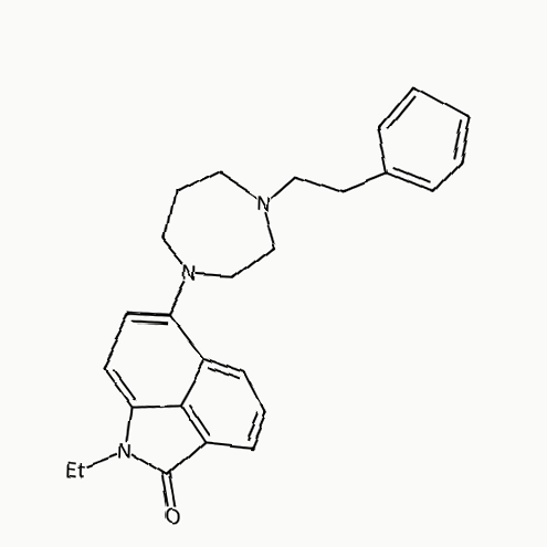 CCN1C(=O)c2cccc3c(N4CCCN(CCc5ccccc5)CC4)ccc1c23